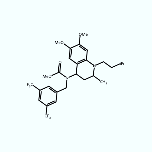 COC(=O)N(Cc1cc(C(F)(F)F)cc(C(F)(F)F)c1)C1CC(C)N(CCC(C)C)c2cc(OC)c(OC)cc21